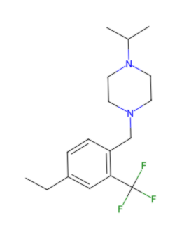 CCc1ccc(CN2CCN(C(C)C)CC2)c(C(F)(F)F)c1